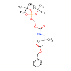 CC(C)(CNC(=O)OCOP(=O)(OC(C)(C)C)OC(C)(C)C)CC(=O)OCc1ccccc1